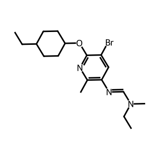 CCC1CCC(Oc2nc(C)c(/N=C/N(C)CC)cc2Br)CC1